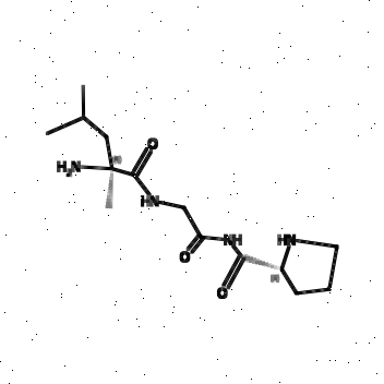 CC(C)C[C@](C)(N)C(=O)NCC(=O)NC(=O)[C@H]1CCCN1